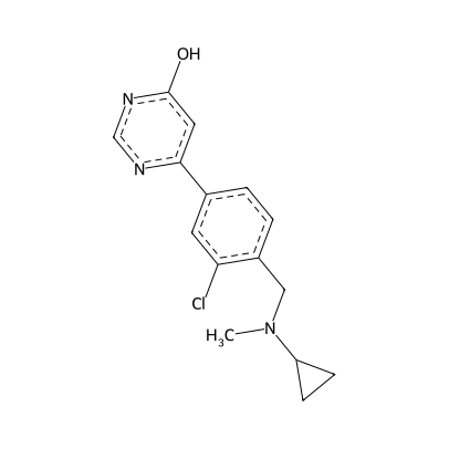 CN(Cc1ccc(-c2cc(O)ncn2)cc1Cl)C1CC1